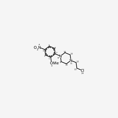 COc1cc([N+](=O)[O-])ccc1N1CCN(CCCl)CC1